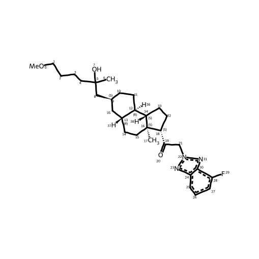 COCCCCC(C)(O)C[C@H]1CC[C@@H]2[C@H](CC[C@]3(C)[C@@H](C(=O)Cn4nc5cccc(F)c5n4)CC[C@@H]23)C1